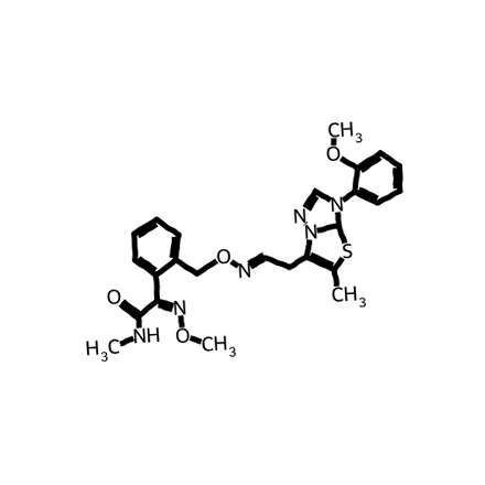 CNC(=O)C(=NOC)c1ccccc1CON=CCC1=C(C)SC2N1N=CN2c1ccccc1OC